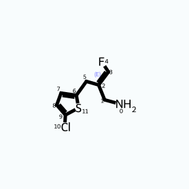 NC/C(=C/F)Cc1ccc(Cl)s1